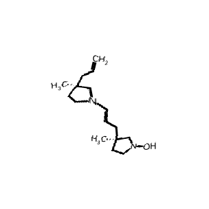 C=CC[C@]1(C)CCN(/C=C/C[C@]2(C)CCN(O)C2)C1